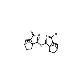 O=C(O)C1=CC2CCC1(C(=O)OC(=O)C13CCC(C=C1C(=O)O)O3)O2